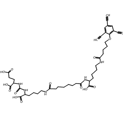 C#Cc1cc(C#C)c(OCCCCC(=O)NCCCCC(NC(=O)CCCCCCC(=O)NCCCCC(NC(=O)NC(CCC(=O)O)C(=O)O)C(=O)O)C(=O)O)c(C#C)c1